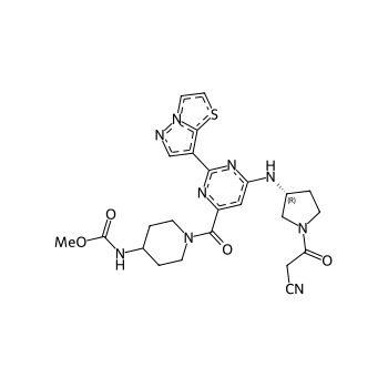 COC(=O)NC1CCN(C(=O)c2cc(N[C@@H]3CCN(C(=O)CC#N)C3)nc(-c3cnn4ccsc34)n2)CC1